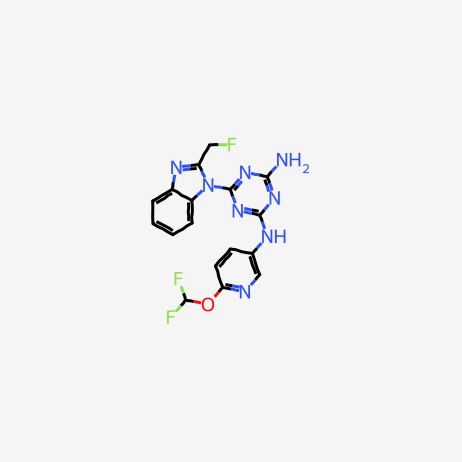 Nc1nc(Nc2ccc(OC(F)F)nc2)nc(-n2c(CF)nc3ccccc32)n1